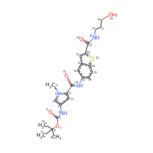 Cn1cc(NC(=O)OC(C)(C)C)cc1C(=O)Nc1ccc2sc(C(=O)NCCCO)cc2c1